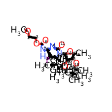 COCCOC(=O)Nc1nc(=O)n([C@@H]2O[C@H](C)[C@@H](O[Si](C)(C)C(C)(C)C)[C@H]2O[Si](C)(C)C(C)(C)C)cc1I